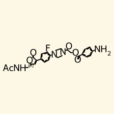 CC(=O)NC[C@H]1C=C(c2ccc(N3CCN(C(=O)COC(=O)c4ccc(N)cc4)CC3)c(F)c2)C(=O)O1